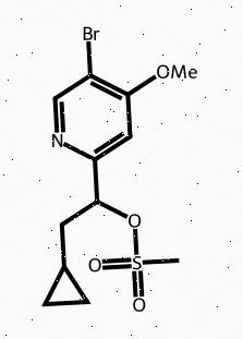 COc1cc(C(CC2CC2)OS(C)(=O)=O)ncc1Br